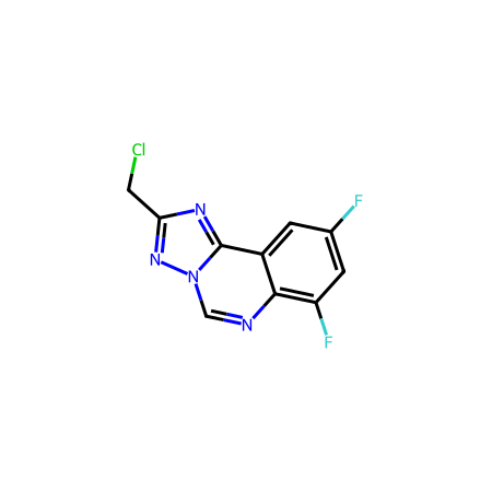 Fc1cc(F)c2ncn3nc(CCl)nc3c2c1